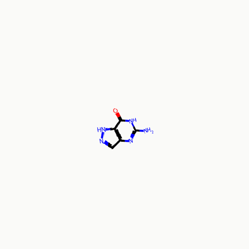 Nc1nc2cn[nH]c2c(=O)[nH]1